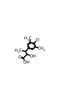 Cc1cc(C(C)C(O)C(=O)O)cc(C)c1Cl